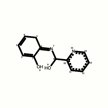 OC1=CC=CCC1=NC(O)c1ccccn1